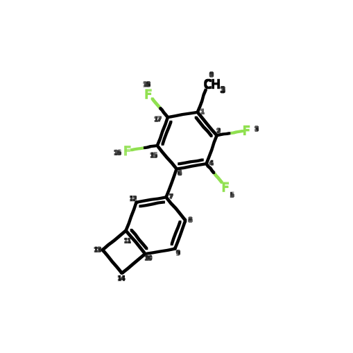 Cc1c(F)c(F)c(-c2ccc3c(c2)CC3)c(F)c1F